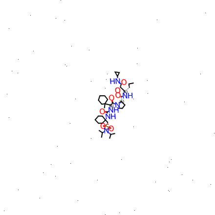 CCC[C@H](NC(=O)[C@@H]1CCCN1C(=O)[C@@H](NC(=O)NC1(CS(=O)(=O)N(C(C)C)C(C)C)CCCCC1)C1(C)CCCCC1)C(=O)C(=O)NC1CC1